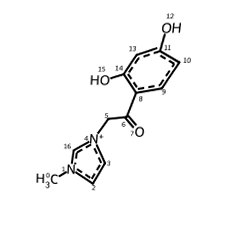 Cn1cc[n+](CC(=O)c2ccc(O)cc2O)c1